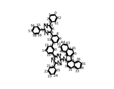 c1ccc(-c2cc(-c3cccc(-c4cccc(-c5nc(-c6ccccc6)nc(-n6c7ccc8ccccc8c7c7ccc8ccccc8c76)n5)c4)c3)nc(-c3ccccc3)n2)cc1